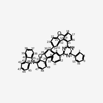 c1ccc(-c2nc(-c3ccccc3)nc(-c3cccc4oc5ccc(-c6ccc7c(c6)oc6c(-n8c9ccccc9c9ccccc98)cccc67)cc5c34)n2)cc1